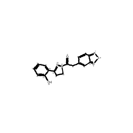 O=C(Cc1ccc2nsnc2c1)N1CCC(c2ccccc2O)=N1